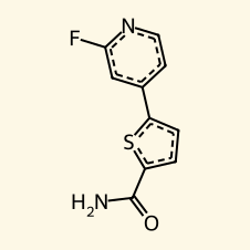 NC(=O)c1ccc(-c2ccnc(F)c2)s1